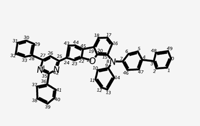 c1ccc(-c2ccc(N(c3ccccc3)c3cccc4c3oc3cc(-c5cc(-c6ccccc6)nc(-c6ccccc6)n5)ccc34)cc2)cc1